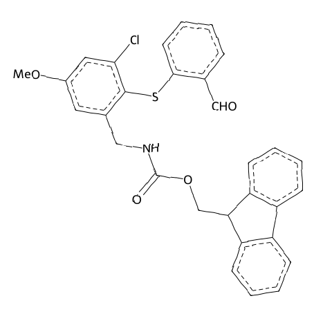 COc1cc(Cl)c(Sc2ccccc2C=O)c(CNC(=O)OCC2c3ccccc3-c3ccccc32)c1